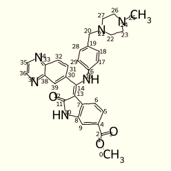 COC(=O)c1ccc2c(c1)NC(=O)C2=C(Nc1ccc(CN2CCN(C)CC2)cc1)c1ccc2nccnc2c1